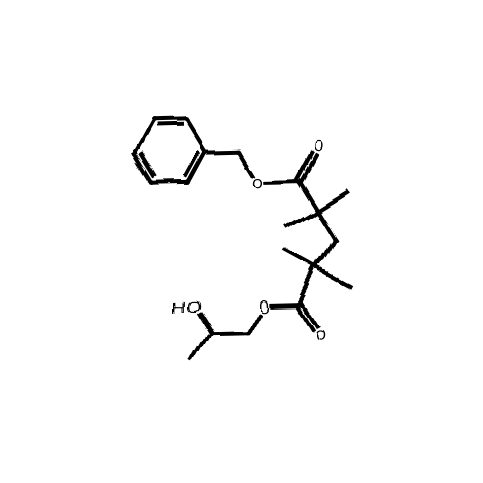 CC(O)COC(=O)C(C)(C)CC(C)(C)C(=O)OCc1ccccc1